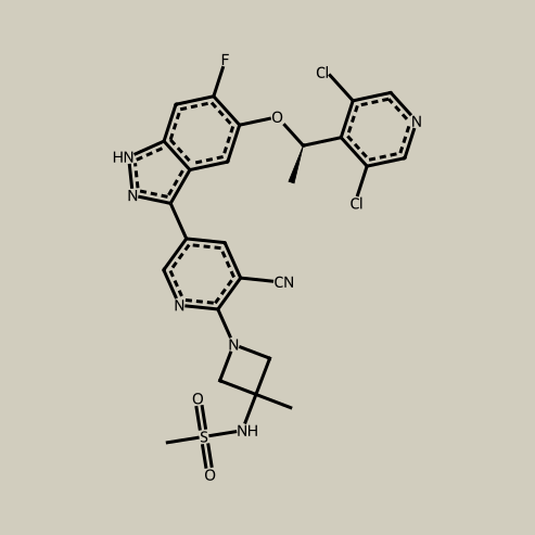 C[C@@H](Oc1cc2c(-c3cnc(N4CC(C)(NS(C)(=O)=O)C4)c(C#N)c3)n[nH]c2cc1F)c1c(Cl)cncc1Cl